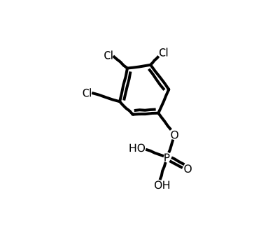 O=P(O)(O)Oc1cc(Cl)c(Cl)c(Cl)c1